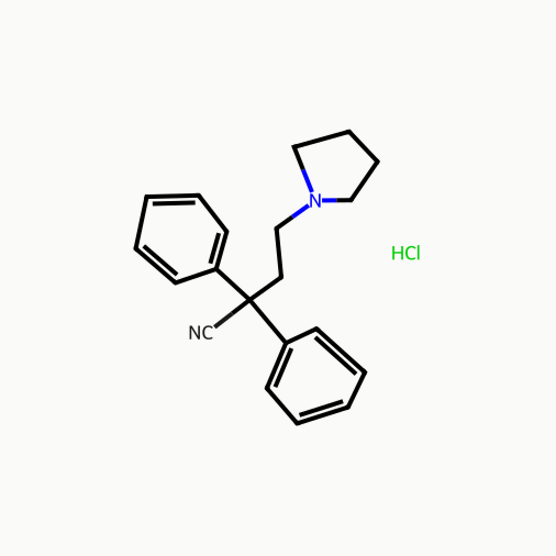 Cl.N#CC(CCN1CCCC1)(c1ccccc1)c1ccccc1